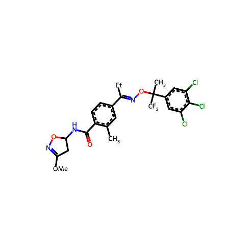 CC/C(=N\OC(C)(c1cc(Cl)c(Cl)c(Cl)c1)C(F)(F)F)c1ccc(C(=O)NC2CC(OC)=NO2)c(C)c1